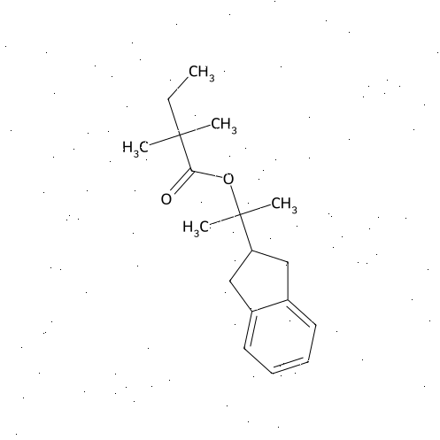 CCC(C)(C)C(=O)OC(C)(C)C1Cc2ccccc2C1